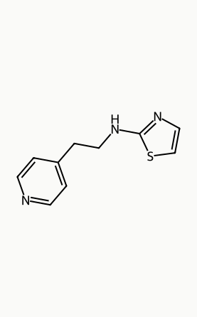 c1cc(CCNc2nccs2)ccn1